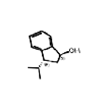 CC(C)[C@H]1C[C@H](O)c2ccccc21